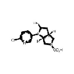 CC(C)(C)C1C[C@@H]2CN(C(=O)O)C[C@@H]2N1c1ccc(Cl)nc1